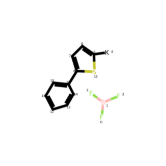 FB(F)F.[K][c]1ccc(-c2ccccc2)s1